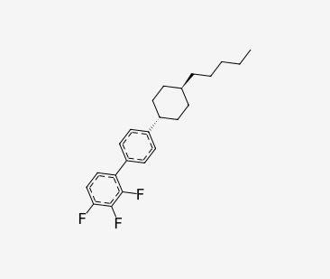 CCCCC[C@H]1CC[C@H](c2ccc(-c3ccc(F)c(F)c3F)cc2)CC1